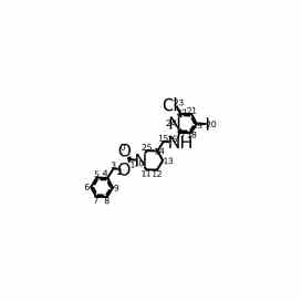 O=C(OCc1ccccc1)N1CCCC(CNc2cc(I)cc(Cl)n2)C1